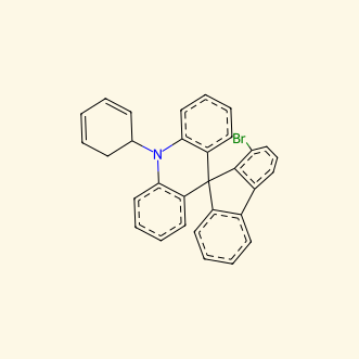 Brc1cccc2c1C1(c3ccccc3-2)c2ccccc2N(C2C=CC=CC2)c2ccccc21